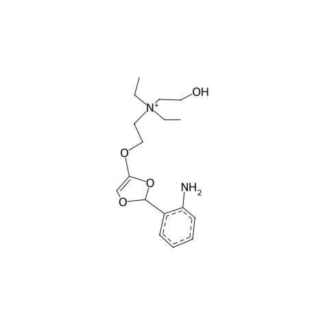 CC[N+](CC)(CCO)CCOC1=COC(c2ccccc2N)O1